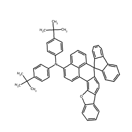 CC(C)(C)c1ccc(N(c2ccc(C(C)(C)C)cc2)c2ccc3c4c(cccc24)C2(c4ccccc4-c4ccccc42)c2ccc4c(oc5ccccc54)c2-3)cc1